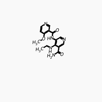 CCNc1c(NC(=O)c2cnccc2OC)cncc1C(N)=O